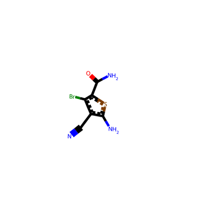 N#Cc1c(N)sc(C(N)=O)c1Br